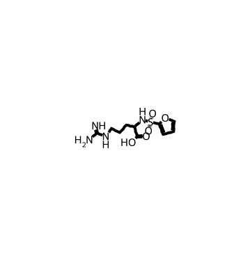 N=C(N)NCCCC(NS(=O)(=O)c1ccco1)C(=O)O